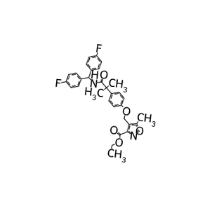 CCOC(=O)c1noc(C)c1COc1ccc(C(C)(C)C(=O)NC(c2ccc(F)cc2)c2ccc(F)cc2)cc1